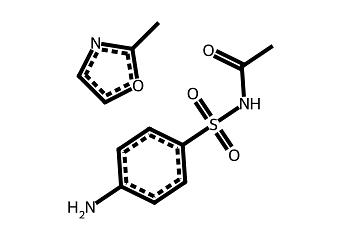 CC(=O)NS(=O)(=O)c1ccc(N)cc1.Cc1ncco1